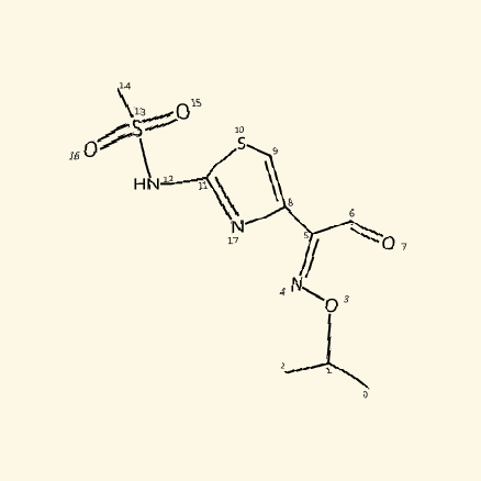 CC(C)O/N=C(\[C]=O)c1csc(NS(C)(=O)=O)n1